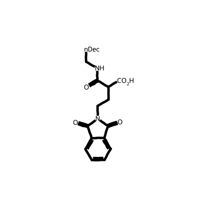 CCCCCCCCCCCNC(=O)C(CCN1C(=O)c2ccccc2C1=O)C(=O)O